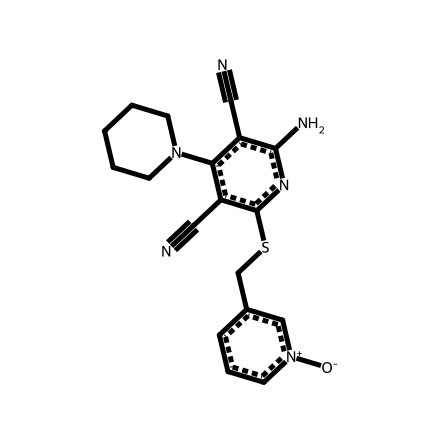 N#Cc1c(N)nc(SCc2ccc[n+]([O-])c2)c(C#N)c1N1CCCCC1